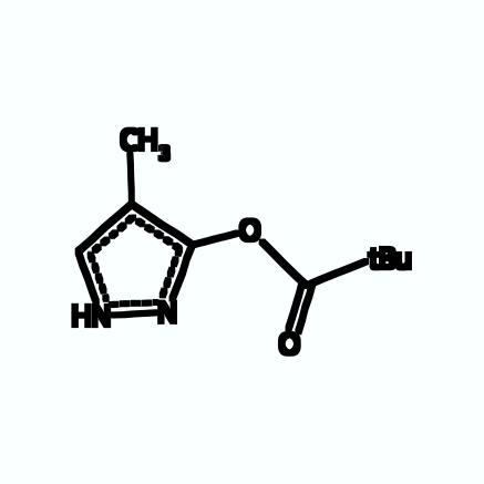 Cc1c[nH]nc1OC(=O)C(C)(C)C